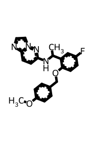 COc1ccc(COc2ccc(F)cc2C(C)Nc2ccc3nccn3n2)cc1